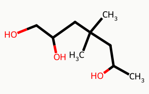 CC(O)CC(C)(C)CC(O)CO